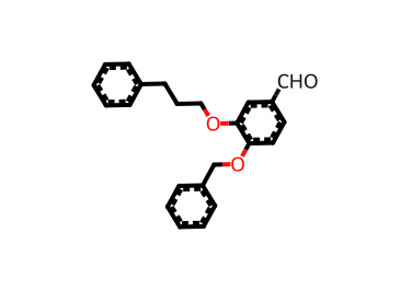 O=Cc1ccc(OCc2ccccc2)c(OCCCc2ccccc2)c1